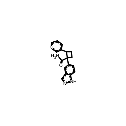 NC(=O)C1(c2ccc3[nH]ncc3c2)CCC1c1cccnc1